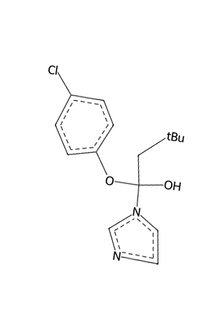 CC(C)(C)CC(O)(Oc1ccc(Cl)cc1)n1ccnc1